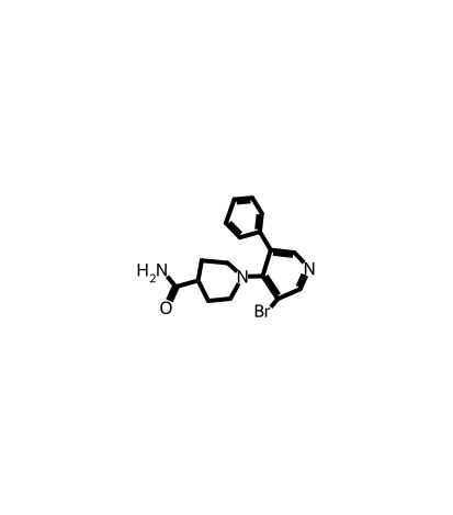 NC(=O)C1CCN(c2c(Br)cncc2-c2ccccc2)CC1